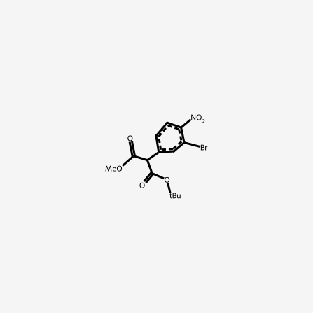 COC(=O)C(C(=O)OC(C)(C)C)c1ccc([N+](=O)[O-])c(Br)c1